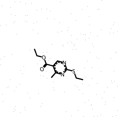 CCOC(=O)c1cnc(SCC)nc1C